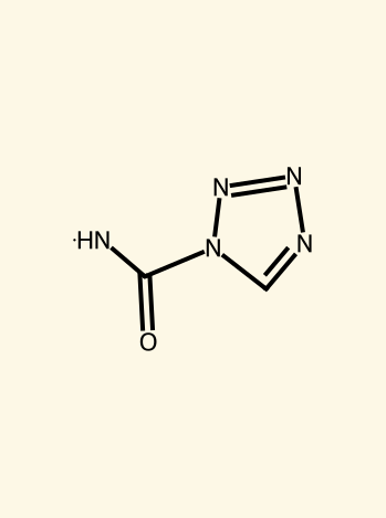 [NH]C(=O)n1cnnn1